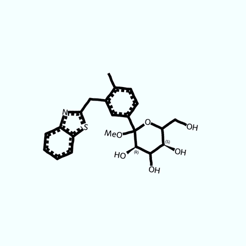 COC1(c2ccc(C)c(Cc3nc4ccccc4s3)c2)OC(CO)[C@@H](O)C(O)[C@H]1O